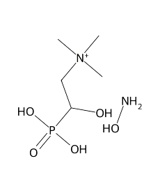 C[N+](C)(C)CC(O)P(=O)(O)O.NO